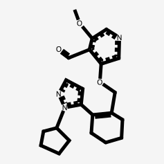 COc1cncc(OCC2=C(c3ccnn3C3CCCC3)CCCC2)c1C=O